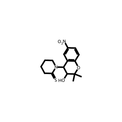 CC1(C)Oc2ccc([N+](=O)[O-])cc2C(N2CCCCC2=S)C1O